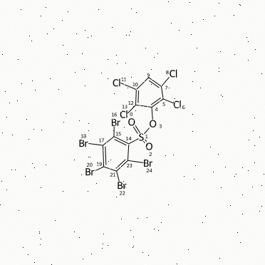 O=S(=O)(Oc1c(Cl)c(Cl)cc(Cl)c1Cl)c1c(Br)c(Br)c(Br)c(Br)c1Br